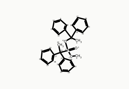 COP(=O)(OC(C)(c1ccccc1)c1ccccc1)C(C)(c1ccccc1)c1ccccc1